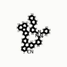 N#Cc1cccc(-c2ccc(-c3ccc4c(c3)-c3cccc5cccc-4c35)cc2)c1-c1ccc(-c2cccc(-c3nc(-c4ccccc4)nc(-c4cccc(-c5ccc6ccccc6c5)c4)n3)c2)cc1